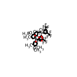 COc1c(C)cc(P(c2cc(C)c(OC)c(C)c2)c2ccccc2[C@H]2CCCC2[C@@H](C)P(c2cc(C(F)(F)F)cc(C(F)(F)F)c2)c2cc(C(F)(F)F)cc(C(F)(F)F)c2)cc1C